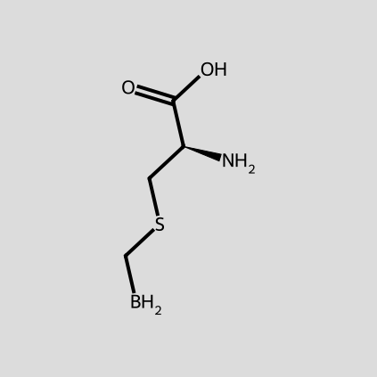 BCSC[C@H](N)C(=O)O